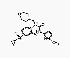 Cn1ccc(NC(=O)[C@H](CC2CCOCC2)n2ccc(S(=O)(=O)C3CC3)cc2=O)n1